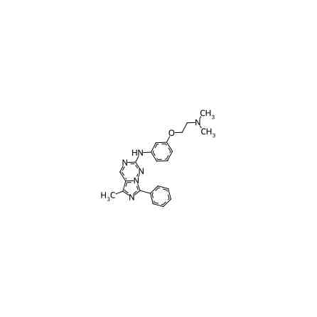 Cc1nc(-c2ccccc2)n2nc(Nc3cccc(OCCN(C)C)c3)ncc12